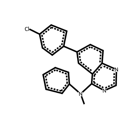 CN(c1ccccc1)c1ncnc2ccc(-c3ccc(Cl)cc3)cc12